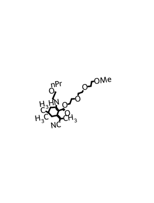 CCCOCCNC1=C(C(=O)OCCOCCOCCOC)/C(=C(\C)C#N)CC(C)(C)C1